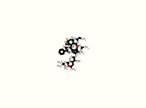 C=CC1O[C@H]2C[C@H]3OC[C@@]3(OC(C)=O)[C@H]3[C@H](OC(=O)c4ccccc4)[C@]4(O)C[C@H](OC(=O)[C@@H](O)C(CC(C)C)NC(=O)OC(C)(C)C)C(C)=C([C@H](OC(C)=O)[C@H](O1)[C@]23C)C4(C)C